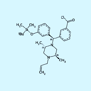 C=CCN1C[C@H](C)N([C@@H](c2cccc(O[Si](C)(C)C(C)(C)C)c2)c2cccc(C(=O)Cl)c2)C[C@H]1C